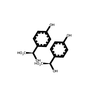 O=C(O)[C@H](O)c1ccc(O)cc1.O=C(O)[C@H](O)c1ccc(O)cc1